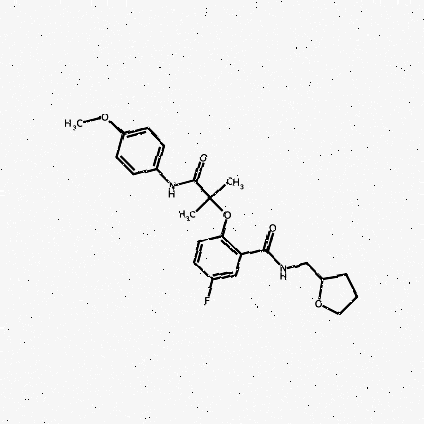 COc1ccc(NC(=O)C(C)(C)Oc2ccc(F)cc2C(=O)NCC2CCCO2)cc1